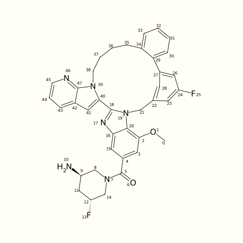 COc1cc(C(=O)N2C[C@H](N)C[C@@H](F)C2)cc2nc3n(c12)Cc1cc(F)cc(c1)-c1ccccc1CCCCn1c-3cc2cccnc21